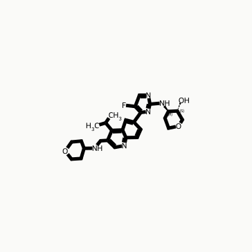 CC(C)c1c(CNC2CCOCC2)cnc2ccc(-c3nc(N[C@@H]4CCOC[C@H]4O)ncc3F)cc12